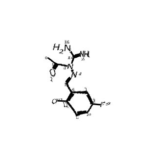 CC(=O)N(/N=C/c1cc(F)ccc1Cl)C(=N)N